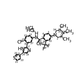 C[C@@H]1CN(c2ccc(C(=O)Nc3ccc(Cl)c(-c4ncc(-c5ccsc5)[nH]4)c3)c(C(F)(F)F)c2)C[C@H](C)N1C.Cl.Cl